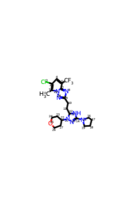 Cc1c(Cl)cc(C(F)(F)F)c2nc(CCC3NC(N4CCCC4)=NN3C3CCOCC3)nn12